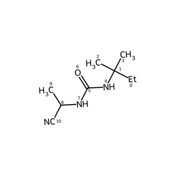 CCC(C)(C)NC(=O)NC(C)C#N